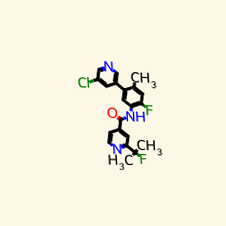 Cc1cc(F)c(NC(=O)c2ccnc(C(C)(C)F)c2)cc1-c1cncc(Cl)c1